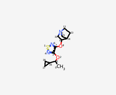 CC(Oc1nsnc1OC1CN2CCC1C2)C1CC1